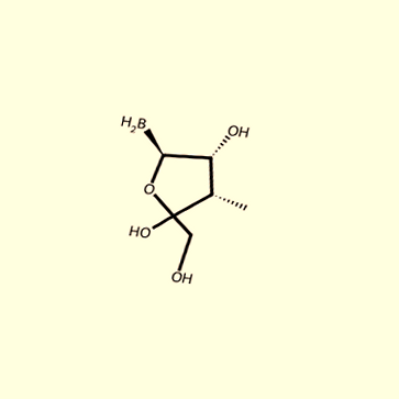 B[C@@H]1OC(O)(CO)[C@@H](C)[C@H]1O